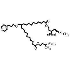 C=C=C=C=CC(CCCCC)CCOC(=O)CCCCCCCCCC(CCCCCCCCCC(=O)OCCC(C)CCCCC)COCCCN1CCOCC1